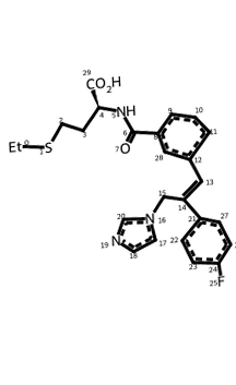 CCSCC[C@H](NC(=O)c1cccc(C=C(Cn2ccnc2)c2ccc(F)cc2)c1)C(=O)O